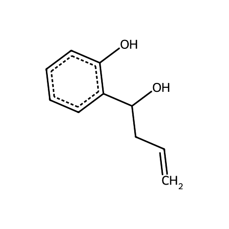 C=CCC(O)c1ccccc1O